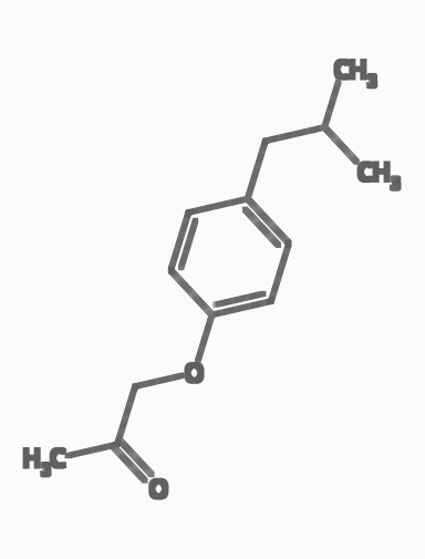 CC(=O)COc1ccc(CC(C)C)cc1